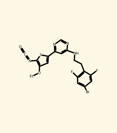 CCOc1cc(-c2cc(NCCc3c(F)cc(Br)cc3F)ncn2)sc1N=C=O